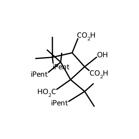 CCCC(C)C(C)(C)C(C(=O)O)C(O)(C(=O)O)C(C(=O)O)(C(C)(C)C(C)CCC)C(C)(C)C(C)CCC